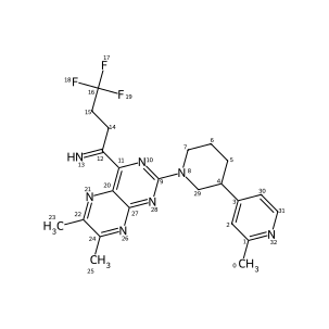 Cc1cc(C2CCCN(c3nc(C(=N)CCC(F)(F)F)c4nc(C)c(C)nc4n3)C2)ccn1